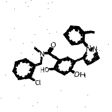 Cc1ccccc1-n1nccc1-c1cc(C(=O)N(C)Cc2ccccc2Cl)c(O)cc1O